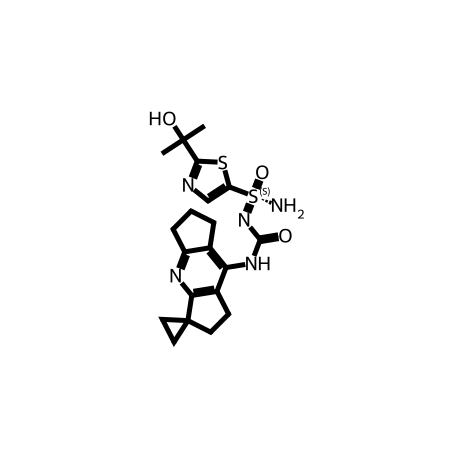 CC(C)(O)c1ncc([S@@](N)(=O)=NC(=O)Nc2c3c(nc4c2CCC42CC2)CCC3)s1